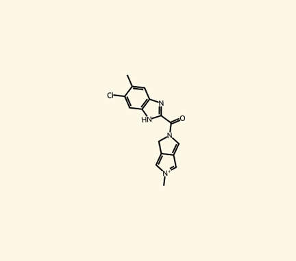 Cc1cc2nc(C(=O)N3C=C4C=[N+](C)C=C4C3)[nH]c2cc1Cl